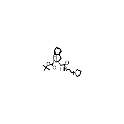 CC(C)(C)OC(=O)N[C@H](CC(=O)NCCN1CCCC1)Cc1ccccc1